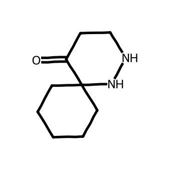 O=C1CCNNC12CCCCC2